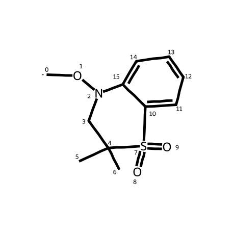 [CH2]ON1CC(C)(C)S(=O)(=O)c2ccccc21